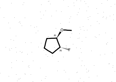 CO[C@@H]1CCC[C@H]1F